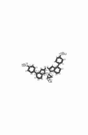 CC1=Cc2c(-c3ccc(C(C)(C)C)cc3)cccc2[CH]1[Ti+2]1([CH]2C(C)=Cc3c(-c4ccc(C(C)(C)C)cc4)cccc32)[CH2][CH2]1.[Cl-].[Cl-]